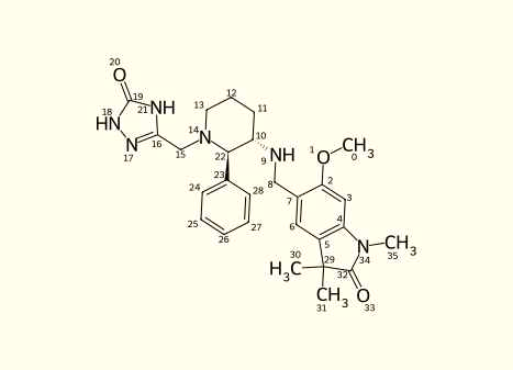 COc1cc2c(cc1CN[C@H]1CCCN(Cc3n[nH]c(=O)[nH]3)[C@@H]1c1ccccc1)C(C)(C)C(=O)N2C